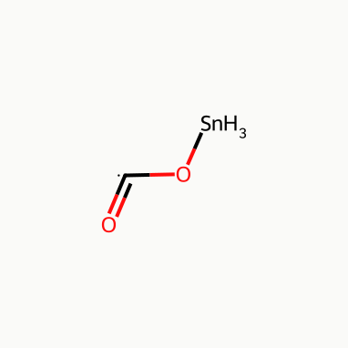 O=[C][O][SnH3]